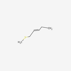 [CH2]C/C=C/CSC